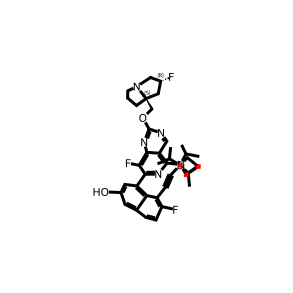 CC(C)[Si](C#Cc1c(F)ccc2cc(O)cc(-c3nc(N4CCC4)c4cnc(OC[C@@]56CCCN5C[C@H](F)C6)nc4c3F)c12)(C(C)C)C(C)C